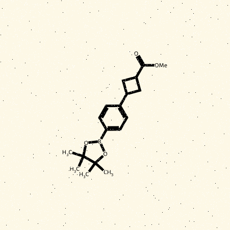 COC(=O)C1CC(c2ccc(B3OC(C)(C)C(C)(C)O3)cc2)C1